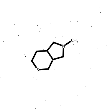 CN1CC2CCSCC2C1